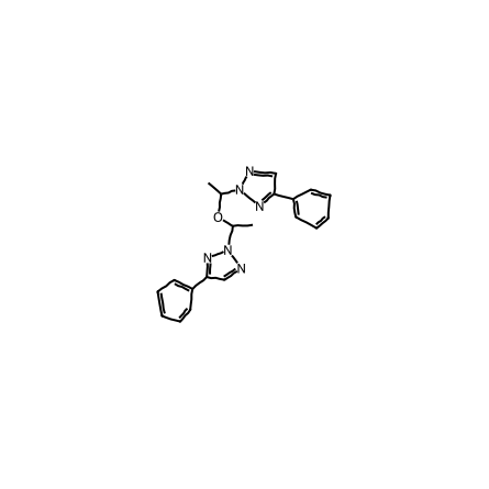 CC(OC(C)n1ncc(-c2ccccc2)n1)n1ncc(-c2ccccc2)n1